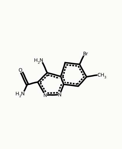 Cc1cc2nnc(C(N)=O)c(N)c2cc1Br